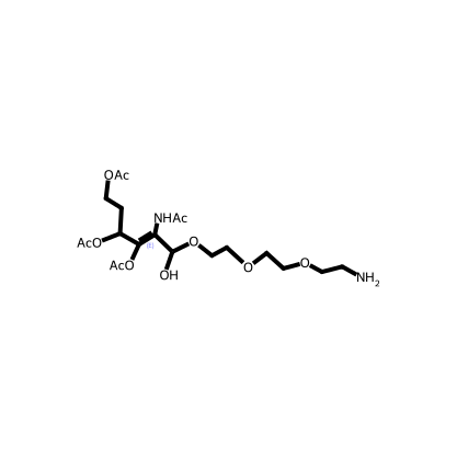 CC(=O)N/C(=C(/OC(C)=O)C(CCOC(C)=O)OC(C)=O)C(O)OCCOCCOCCN